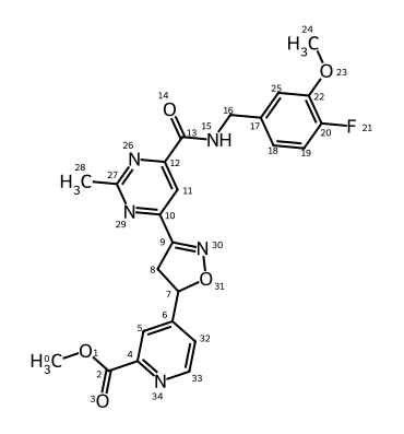 COC(=O)c1cc(C2CC(c3cc(C(=O)NCc4ccc(F)c(OC)c4)nc(C)n3)=NO2)ccn1